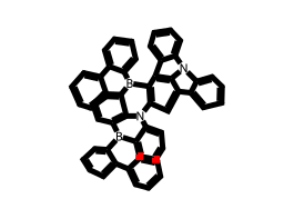 c1ccc(-c2ccccc2B2c3ccccc3N3c4cc5c6ccccc6n6c7ccccc7c(c4B(c4ccccc4-c4ccccc4)c4cccc2c43)c56)cc1